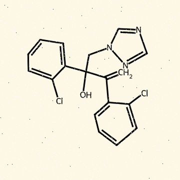 C=C(c1ccccc1Cl)C(O)(Cn1cncn1)c1ccccc1Cl